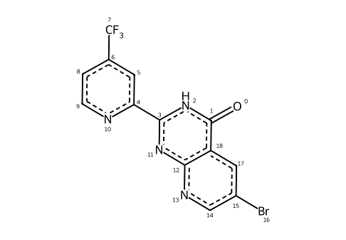 O=c1[nH]c(-c2cc(C(F)(F)F)ccn2)nc2ncc(Br)cc12